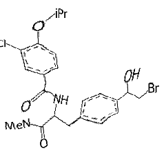 CNC(=O)C(Cc1ccc(C(O)CBr)cc1)NC(=O)c1ccc(OC(C)C)c(Cl)c1